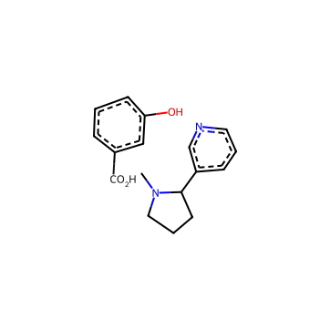 CN1CCCC1c1cccnc1.O=C(O)c1cccc(O)c1